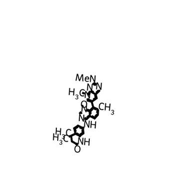 CNc1ncc2cc(-c3c(C)ccc4c(Nc5ccc6c(c5)NC(=O)CC6(C)C)ncnc34)c(=O)n(C)c2n1